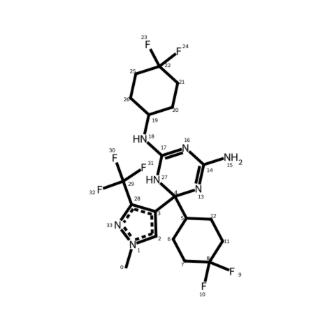 Cn1cc(C2(C3CCC(F)(F)CC3)N=C(N)N=C(NC3CCC(F)(F)CC3)N2)c(C(F)(F)F)n1